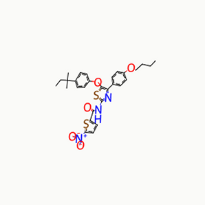 CCCCOc1ccc(-c2nc(NC(=O)c3ccc([N+](=O)[O-])s3)sc2Oc2ccc(C(C)(C)CC)cc2)cc1